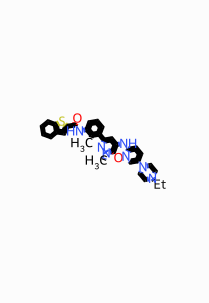 CCN1CCN(c2ccc(Nc3cc(-c4cccc(NC(=O)c5cc6c(s5)CCCC6)c4C)nn(C)c3=O)nc2)CC1